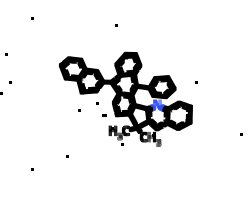 CC1(C)c2cc3ccccc3nc2-c2c1ccc1c(-c3ccc4ccccc4c3)c3ccccc3c(-c3ccccc3)c21